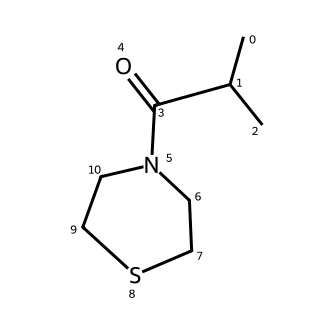 CC(C)C(=O)N1CCSCC1